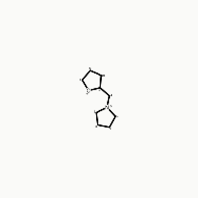 C1COC(CN2CCCC2)C1